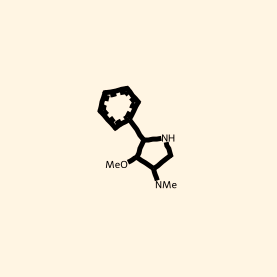 CNC1CNC(c2ccccc2)C1OC